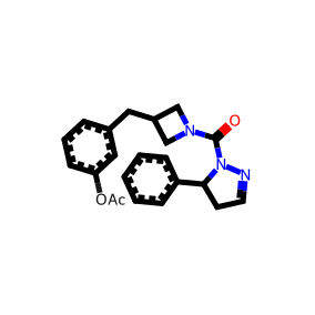 CC(=O)Oc1cccc(CC2CN(C(=O)N3N=CCC3c3ccccc3)C2)c1